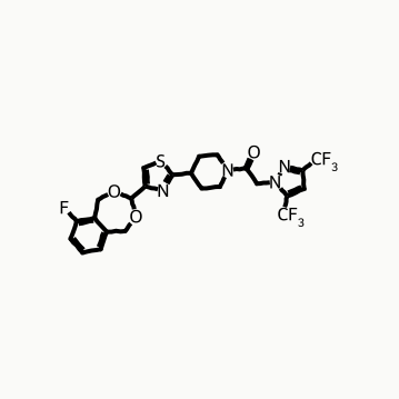 O=C(Cn1nc(C(F)(F)F)cc1C(F)(F)F)N1CCC(c2nc(C3OCc4cccc(F)c4CO3)cs2)CC1